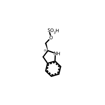 O=S(=O)(O)OC[C@@H]1Cc2ccccc2N1